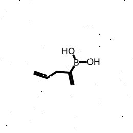 C=CCC(=C)B(O)O